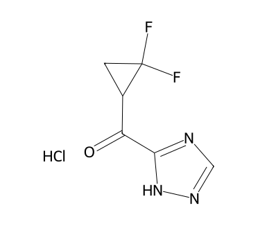 Cl.O=C(c1ncn[nH]1)C1CC1(F)F